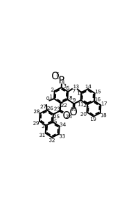 Cc1cc(P=O)c(C)c(C(=O)c2c(C)ccc3ccccc23)c1C(=O)c1c(C)ccc2ccccc12